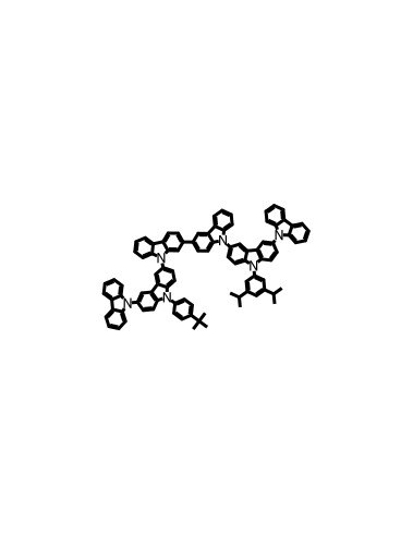 CC(C)c1cc(C(C)C)cc(-n2c3ccc(-n4c5ccccc5c5ccccc54)cc3c3cc(-n4c5ccccc5c5cc(-c6ccc7c8ccccc8n(-c8ccc9c(c8)c8cc(-n%10c%11ccccc%11c%11ccccc%11%10)ccc8n9-c8ccc(C(C)(C)C)cc8)c7c6)ccc54)ccc32)c1